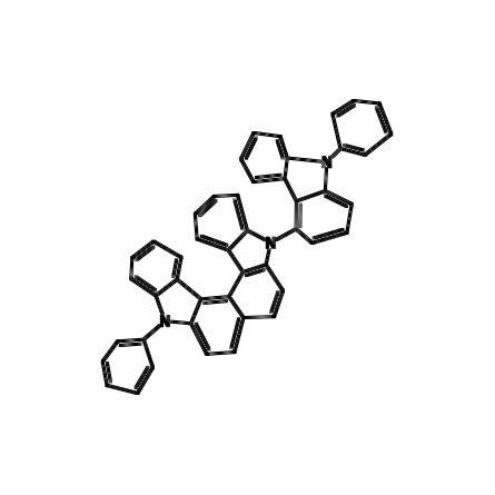 c1ccc(-n2c3ccccc3c3c(-n4c5ccccc5c5c6c(ccc7c6c6ccccc6n7-c6ccccc6)ccc54)cccc32)cc1